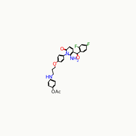 CC(=O)Oc1ccc(NCCCOc2ccc(-n3c(N)c(C(=O)c4ccc(F)cc4F)ccc3=O)cc2)cc1